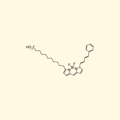 O=C(O)CCCCCCCCCCc1ccc2n1[B-](F)(F)[N+]1=C(C=CC=Cc3ccccc3)C=CC1=C2